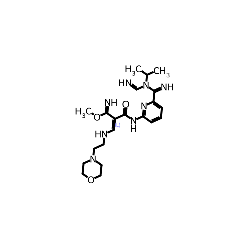 COC(=N)/C(=C\NCCN1CCOCC1)C(=O)Nc1cccc(C(=N)N(C=N)C(C)C)n1